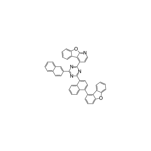 c1ccc2cc(-c3nc(-c4ccc(-c5cccc6oc7ccccc7c56)c5ccccc45)nc(-c4ccnc5oc6ccccc6c45)n3)ccc2c1